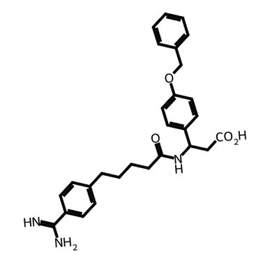 N=C(N)c1ccc(CCCCC(=O)NC(CC(=O)O)c2ccc(OCc3ccccc3)cc2)cc1